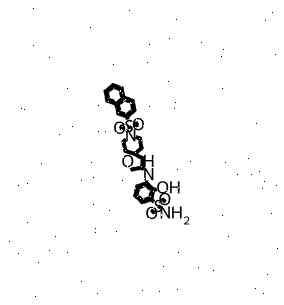 NS(=O)(=O)c1cccc(NC2COC3(CCN(S(=O)(=O)c4ccc5ccccc5c4)CC3)C2)c1O